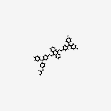 C=CC(=O)Oc1ccc(N(c2ccc(C)cc2)c2ccc(CCc3c4ccccc4c(CCc4ccc(N(c5ccc(C)cc5)c5ccc(C)cc5)cc4)c4ccccc34)cc2)cc1